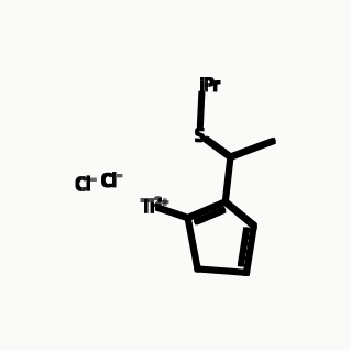 CC(C)SC(C)C1=[C]([Ti+2])CC=C1.[Cl-].[Cl-]